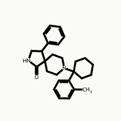 Cc1ccccc1C1(N2CCC3(CC2)C(=O)NCC3c2ccccc2)CCCCC1